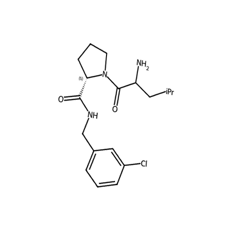 CC(C)CC(N)C(=O)N1CCC[C@H]1C(=O)NCc1cccc(Cl)c1